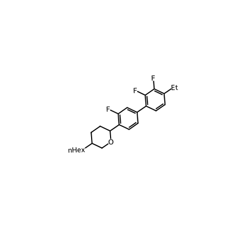 CCCCCCC1CCC(c2ccc(-c3ccc(CC)c(F)c3F)cc2F)OC1